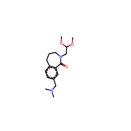 COC(CN1CCCc2ccc(CN(C)C)cc2C1=O)OC